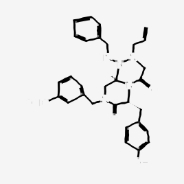 C=CCN1CC(=O)N2[C@@H](Cc3ccc(O)cc3)C(=O)N(Cc3cccc(C=O)c3)C[C@@H]2N1NCc1ccccc1